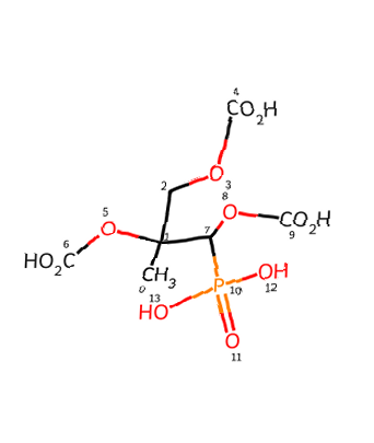 CC(COC(=O)O)(OC(=O)O)C(OC(=O)O)P(=O)(O)O